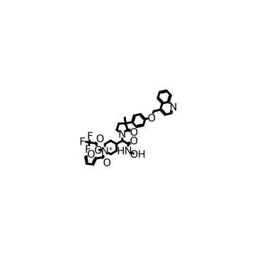 CC1(c2ccc(OCc3ccnc4ccccc34)cc2)CCN(C(C(=O)NO)C2CC[N+](OC(=O)C(F)(F)F)(C(=O)c3ccco3)CC2)C1=O